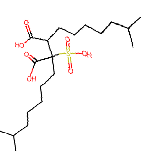 CC(C)CCCCCC(C(=O)O)C(CCCCCC(C)C)(C(=O)O)S(=O)(=O)O